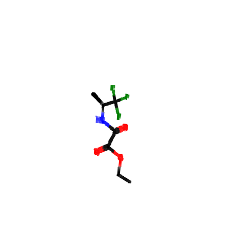 CCOC(=O)C(=O)N[C@@H](C)C(F)(F)F